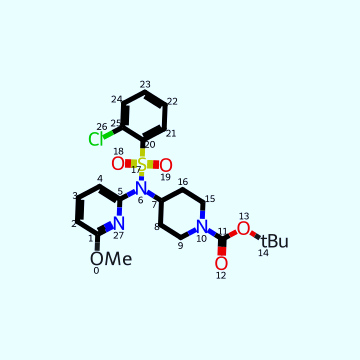 COc1cccc(N(C2CCN(C(=O)OC(C)(C)C)CC2)S(=O)(=O)c2ccccc2Cl)n1